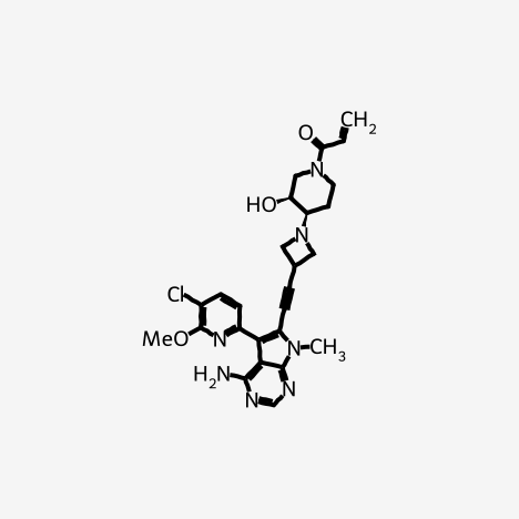 C=CC(=O)N1CC[C@@H](N2CC(C#Cc3c(-c4ccc(Cl)c(OC)n4)c4c(N)ncnc4n3C)C2)[C@@H](O)C1